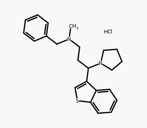 CN(CCC(c1csc2ccccc12)N1CCCC1)Cc1ccccc1.Cl